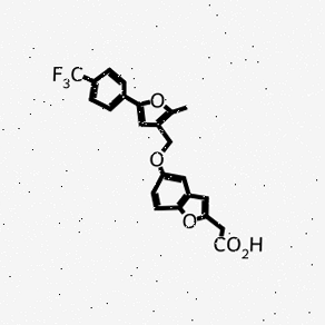 Cc1oc(-c2ccc(C(F)(F)F)cc2)cc1COc1ccc2oc(CC(=O)O)cc2c1